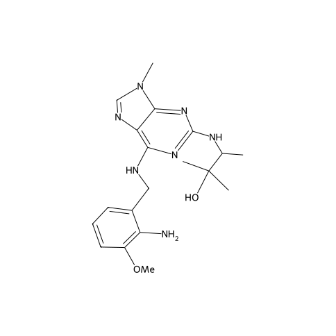 COc1cccc(CNc2nc(NC(C)C(C)(C)O)nc3c2ncn3C)c1N